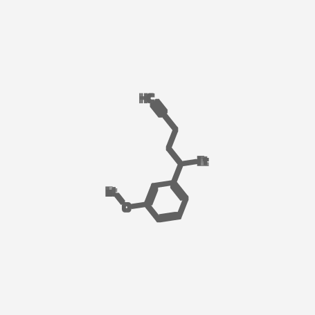 C#CCCC(CC)c1cccc(OCC)c1